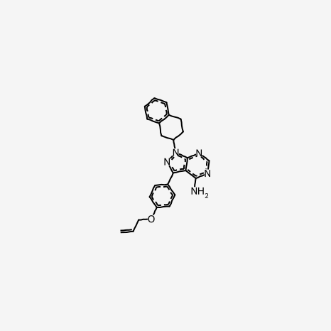 C=CCOc1ccc(-c2nn(C3CCc4ccccc4C3)c3ncnc(N)c23)cc1